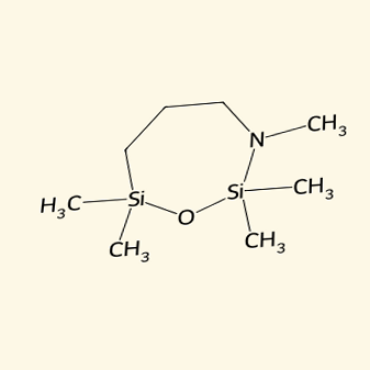 CN1CCC[Si](C)(C)O[Si]1(C)C